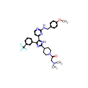 COc1ccc(CNc2nccc(-c3[nH]c(C4CCN(C(=O)CN(C)C)CC4)nc3-c3cccc(C(F)(F)F)c3)n2)cc1